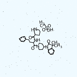 CC1(C)C(=O)N(C2CCN(C(=O)C(CCc3ccccc3)NC(=O)C3CCCNC3)CC2)c2ccccc21.CCS(=O)(=O)O